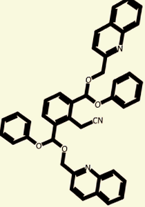 N#CCc1c(C(OCc2ccc3ccccc3n2)Oc2ccccc2)cccc1C(OCc1ccc2ccccc2n1)Oc1ccccc1